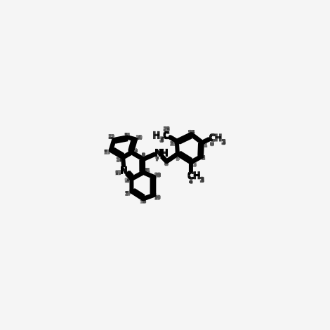 Cc1cc(C)c(CNc2c3ccccc3nc3ccccc23)c(C)c1